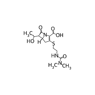 C[C@H](O)[C@H]1C(=O)N2C(C(=O)O)=C(SCCNC(=O)N(C)C)C[C@H]12